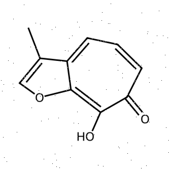 Cc1coc2c(O)c(=O)cccc12